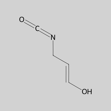 O=C=NCC=CO